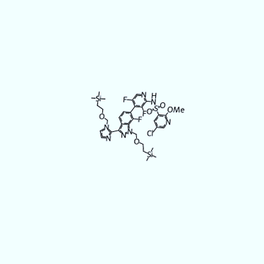 COc1ncc(Cl)cc1S(=O)(=O)Nc1ncc(F)c(-c2ccc3c(-c4nccn4COCC[Si](C)(C)C)nn(COCC[Si](C)(C)C)c3c2F)c1F